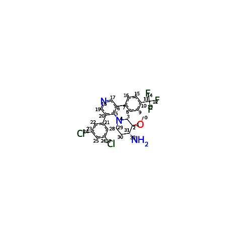 CO[C@@H]1CN(c2c(-c3ccc(C(F)(F)F)cc3)cncc2-c2cc(Cl)cc(Cl)c2)CC[C@H]1N